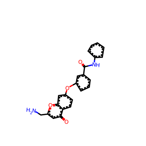 NCc1cc(=O)c2ccc(Oc3cccc(C(=O)Nc4ccccc4)c3)cc2o1